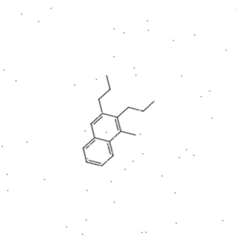 CCCc1cc2ccccc2c(C)c1CCC